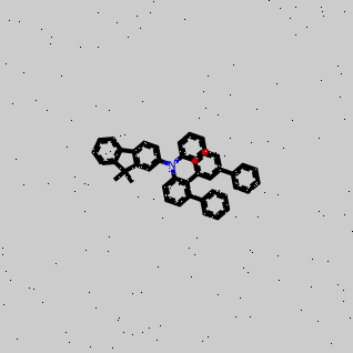 CC1(C)c2ccccc2-c2ccc(N(c3ccccc3)c3cccc(-c4ccccc4)c3-c3cccc(-c4ccccc4)c3)cc21